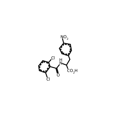 O=C(NC(Cc1ccc([N+](=O)[O-])cc1)C(=O)O)c1c(Cl)cccc1Cl